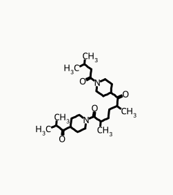 CC(C)CC(=O)N1CCC(C(=O)C(C)CCC(C)C(=O)N2CCC(C(=O)C(C)C)CC2)CC1